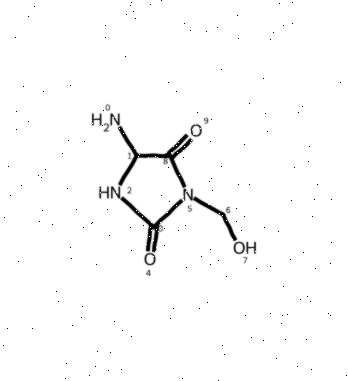 NC1NC(=O)N(CO)C1=O